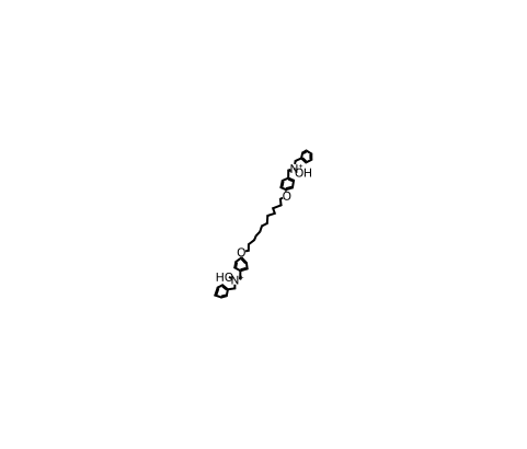 O[N+](=Cc1ccc(OCCCCCCCCCCCCOc2ccc(C=[N+](O)Cc3ccccc3)cc2)cc1)Cc1ccccc1